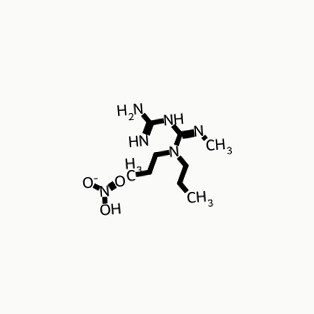 CCCN(CCC)/C(=N\C)NC(=N)N.O=[N+]([O-])O